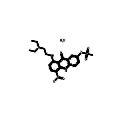 CCN(CC)CCNc1ccc([N+](=O)[O-])c2[nH]c3ccc(OS(C)(=O)=O)cc3c(=O)c12.O